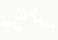 CCOCC(O)N(C)CCN(C)C